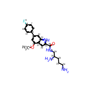 COc1cc(-c2ccc(F)cc2)cc2[nH]c(C(=O)NCC(N)CCCN)cc12